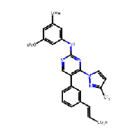 COc1cc(Nc2ncc(-c3cccc(C=CC(=O)O)c3)c(-n3ccc(C(F)(F)F)n3)n2)cc(OC)c1